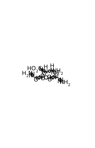 N=C(N)Nc1ccc(CNC(=O)N2CCN(C(=O)O)CC2)cc1.Nc1ncc(CCC(=O)N2CCN(C(=O)O[C@H]3CCC[C@@H](OC(=O)N4CCN(C(=O)CCc5cnc(N)nc5)CC4)CCC3)CC2)cn1